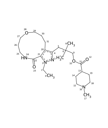 CCn1nc(CC(C)(C)COC(=O)C2CCN(C)CC2)c2c1C(=O)NCCCOCCC2